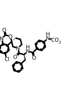 O=C(O)Nc1ccc(C(=O)N[C@@H](Cc2ccccc2)C(=O)N2CCC[C@@]3(C2)OC(=O)Nc2ccc(Cl)cc23)cc1